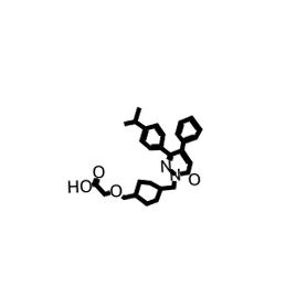 CC(C)c1ccc(-c2nn(CC3CCC(COCC(=O)O)CC3)c(=O)cc2-c2ccccc2)cc1